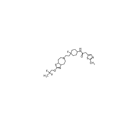 Cc1ncc(CC(=O)NC2CCC(F)(CCN3CCC4N=C(OCC(C)(F)F)SC4CC3)CC2)s1